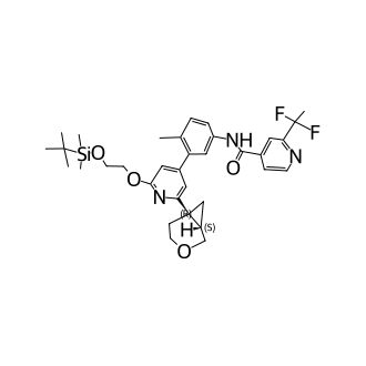 Cc1ccc(NC(=O)c2ccnc(C(C)(F)F)c2)cc1-c1cc(OCCO[Si](C)(C)C(C)(C)C)nc([C@]23CCOC[C@H]2C3)c1